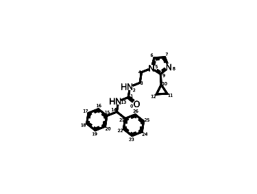 O=C(NCCn1ccnc1C1CC1)NC(c1ccccc1)c1ccccc1